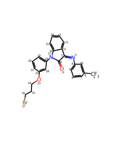 O=C1C(=Nc2cccc(C(F)(F)F)c2)c2ccccc2N1c1cccc(OCCCBr)c1